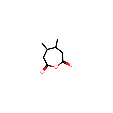 CC1CC(=O)OC(=O)CC1C